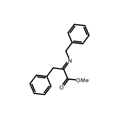 COC(=O)/C(Cc1ccccc1)=N/Cc1ccccc1